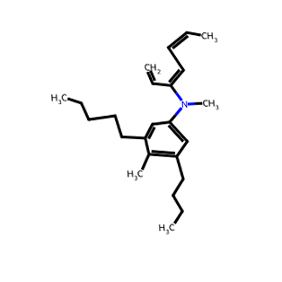 C=C/C(=C\C=C/C)N(C)c1cc(CCCC)c(C)c(CCCCC)c1